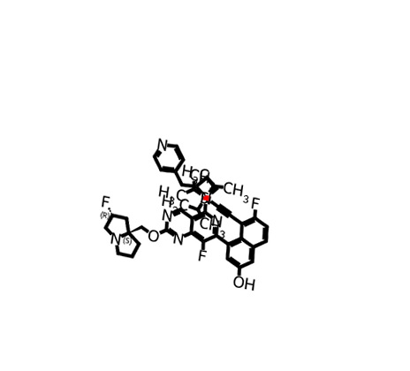 CC(C)[Si](C#Cc1c(F)ccc2cc(O)cc(-c3nc(N4CCC4Cc4ccncc4)c4cnc(OC[C@@]56CCCN5C[C@H](F)C6)nc4c3F)c12)(C(C)C)C(C)C